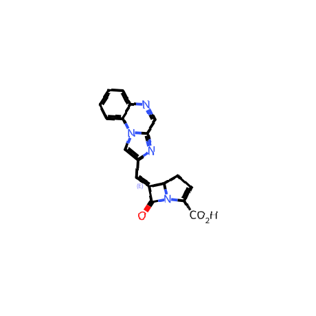 O=C(O)C1=CCC2/C(=C\c3cn4c(cnc5ccccc54)n3)C(=O)N12